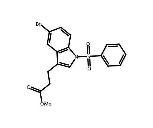 COC(=O)CCc1cn(S(=O)(=O)c2ccccc2)c2ccc(Br)cc12